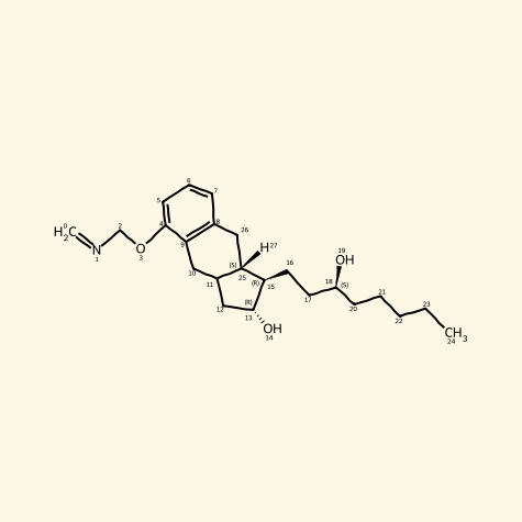 C=NCOc1cccc2c1CC1C[C@@H](O)[C@H](CC[C@@H](O)CCCCC)[C@H]1C2